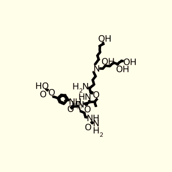 CC(C)C(NC(=O)C(N)CCCCN(CCCCCCO)CC(O)CCC(O)CO)C(=O)N[C@@H](CCCNC(N)=O)C(=O)Nc1ccc(COC(=O)O)cc1